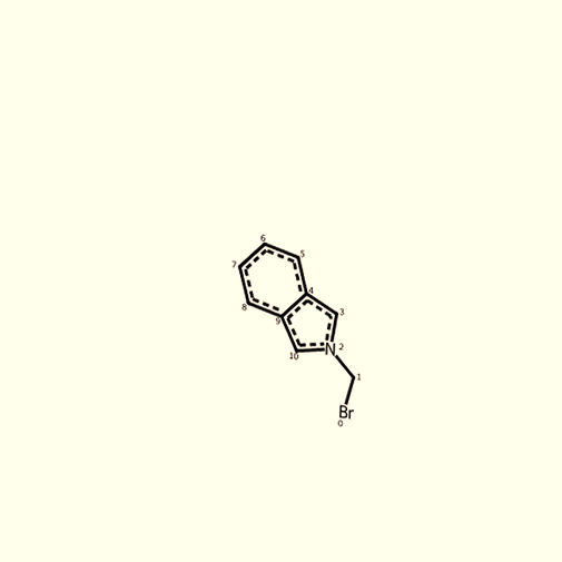 BrCn1cc2ccccc2c1